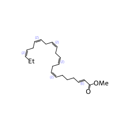 CC/C=C\C/C=C\C/C=C\C/C=C\C/C=C\CCC/C=C/C(=O)OC